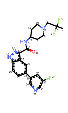 CC(F)(F)CN1CCC(NC(=O)c2n[nH]c3ccc(-c4cncc(F)c4)cc23)CC1